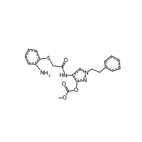 COC(=O)Oc1nn(CCc2ccccc2)cc1NC(=O)CSc1ccccc1N